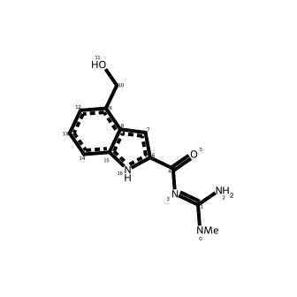 CNC(N)=NC(=O)c1cc2c(CO)cccc2[nH]1